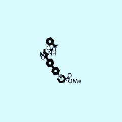 COC(=O)[C@@H]1CCCN(c2ccc(-c3ccc(-c4onc(C)c4NC(=O)O[C@H](C)c4ccccc4)cc3)cc2)C1